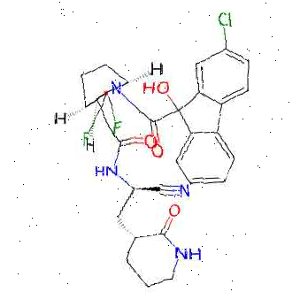 N#C[C@@H](C[C@H]1CCCNC1=O)NC(=O)[C@H]1[C@H]2CC[C@H](CC2(F)F)N1C(=O)C1(O)c2ccccc2-c2ccc(Cl)cc21